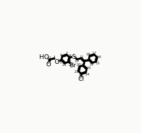 O=C(O)COc1ccc(SC/C=C(/c2ccccc2)c2ccc(Cl)cc2)c(Br)c1